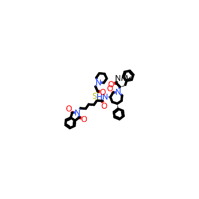 CNC(=O)[C@H](Cc1ccccc1)N1CC[C@H](c2ccccc2)C[C@H](NC(=O)C(CCCCN2C(=O)c3ccccc3C2=O)SC(=O)CN2CCCCC2)C1=O